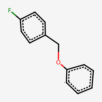 Fc1ccc(COc2[c]cccc2)cc1